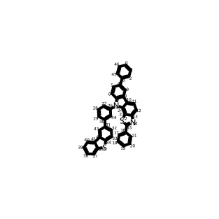 c1ccc(-c2ccc3c(c2)c2ccc4nc(-c5ccccc5)sc4c2n3-c2cccc(-c3ccc4sc5ccccc5c4c3)c2)cc1